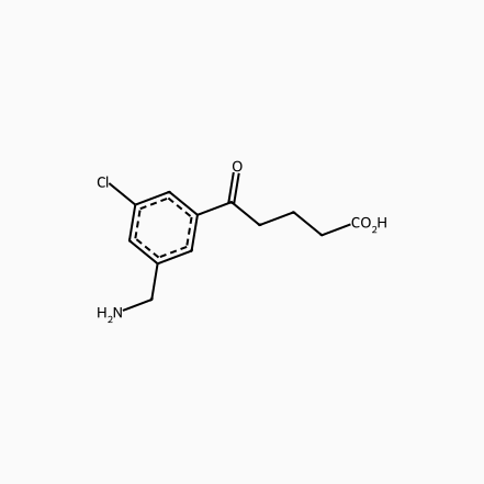 NCc1cc(Cl)cc(C(=O)CCCC(=O)O)c1